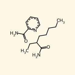 CCCCCC(CC)C(N)=O.NC(=O)c1ccccn1